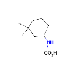 CC1(C)CCCC(NC(=O)O)C1